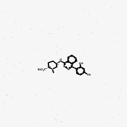 CCOC(=O)[C@@H]1CC[C@@H](Nc2nnc(-c3ccc(C#N)cc3O)c3ccccc23)CN1C